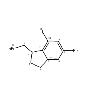 C[C](C)CN1CCc2cc(F)cc(I)c21